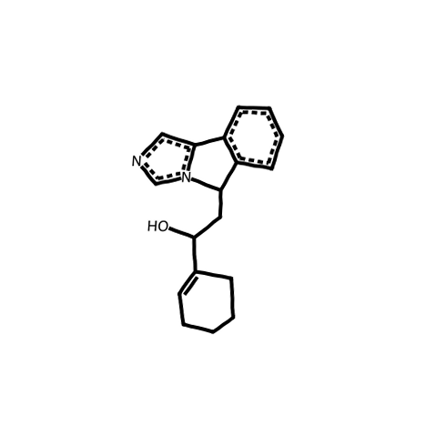 OC(CC1c2ccccc2-c2cncn21)C1=CCCCC1